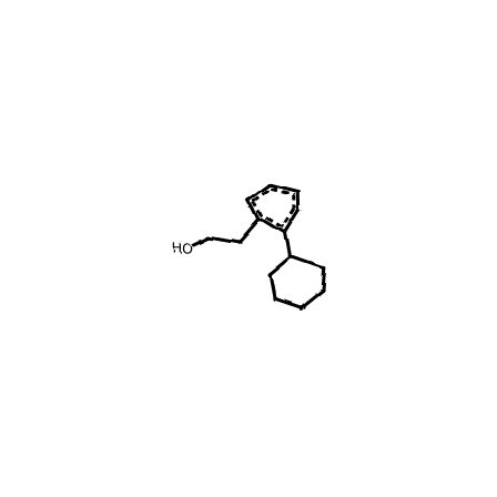 OCCc1ccc[c]c1C1CCCCC1